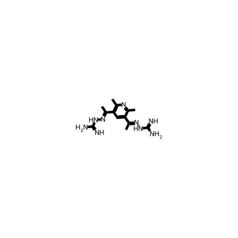 CC(=NNC(=N)N)c1cc(C(C)=NNC(=N)N)c(C)nc1C